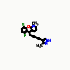 Cc1n[nH]cc1C#CC#CCC(c1cc(F)ccc1F)c1cccn(C)c1=O